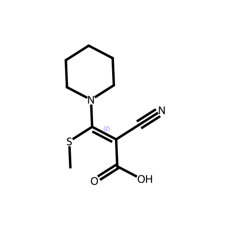 CS/C(=C(/C#N)C(=O)O)N1CCCCC1